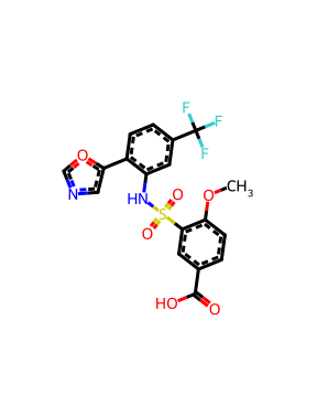 COc1ccc(C(=O)O)cc1S(=O)(=O)Nc1cc(C(F)(F)F)ccc1-c1cnco1